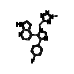 Cn1nnc(Cn2cnc(-c3ccc(F)cc3)c2-c2ccnc3[nH]ccc23)n1